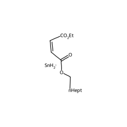 CCCCCCCCOC(=O)/C=C\C(=O)OCC.[SnH2]